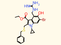 CCOC(=O)c1c(CSCc2ccccc2)n(C2CC2)c2cc(Br)c(O)c(CNC(=N)N)c12